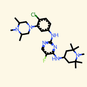 CC1CN(c2cc(Nc3ncc(F)c(NC4CC(C)(C)N(C)C(C)(C)C4)n3)ccc2Cl)CC(C)N1C